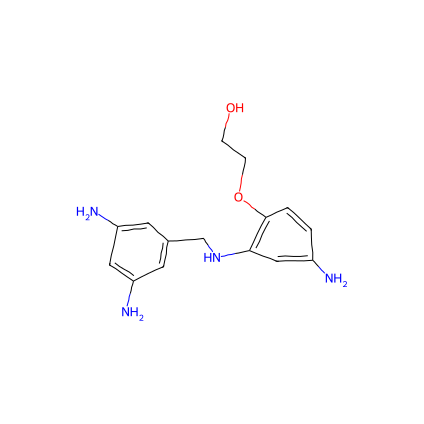 Nc1cc(N)cc(CNc2cc(N)ccc2OCCO)c1